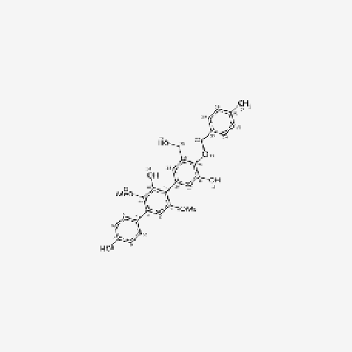 COc1cc(-c2ccc(O)cc2)c(OC)c(O)c1-c1cc(O)c(OCc2ccc(C)cc2)c(CO)c1